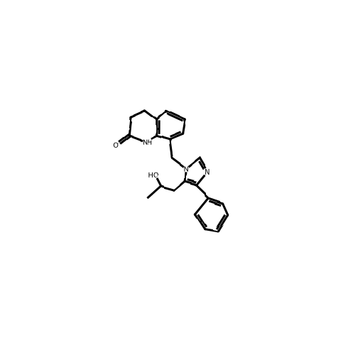 CC(O)Cc1c(-c2ccccc2)ncn1Cc1cccc2c1NC(=O)CC2